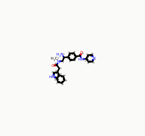 CN(CC(N)c1ccc(C(=O)Nc2ccncc2)cc1)C(=O)Cc1c[nH]c2ccccc12